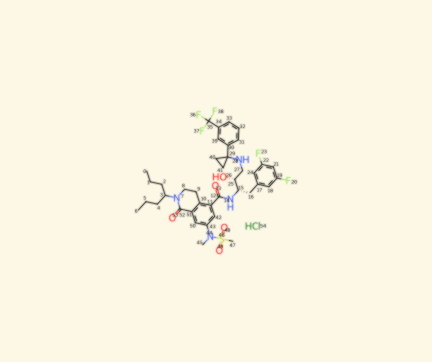 CCCC(CCC)N1CCc2c(C(=O)N[C@@H](Cc3cc(F)cc(F)c3)[C@H](O)CNC3(c4cccc(C(F)(F)F)c4)CC3)cc(N(C)S(C)(=O)=O)cc2C1=O.Cl